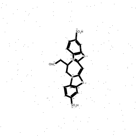 O=CCC1CN2C(=Cc3sc4cc(S(=O)(=O)O)ccc4[n+]31)Sc1cc(S(=O)(=O)O)ccc12